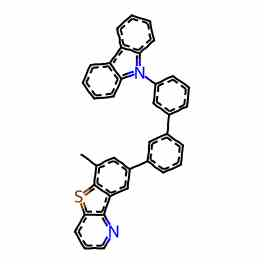 Cc1cc(-c2cccc(-c3cccc(-n4c5ccccc5c5ccccc54)c3)c2)cc2c1sc1cccnc12